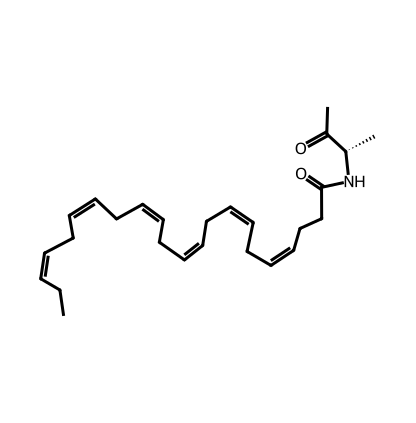 CC/C=C\C/C=C\C/C=C\C/C=C\C/C=C\C/C=C\CCC(=O)N[C@@H](C)C(C)=O